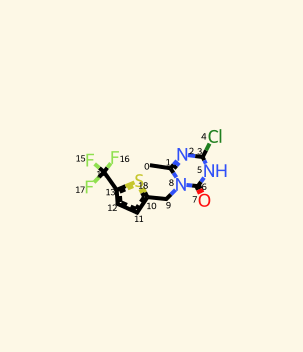 CC1=NC(Cl)NC(=O)N1Cc1ccc(C(F)(F)F)s1